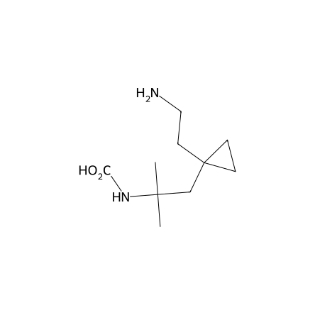 CC(C)(CC1(CCN)CC1)NC(=O)O